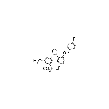 Cc1cc(C(=O)O)cc(C2=C(c3cc(Cl)ccc3OCc3ccc(F)cc3)CCC2)c1